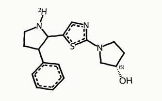 [2H]N1CCC(c2ccccc2)C1c1cnc(N2CC[C@H](O)C2)s1